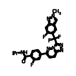 CC(C)NC(=O)c1ccc(-c2ccc3nnc(C(F)(F)c4cc5cn(C)nc5cc4F)n3n2)cc1F